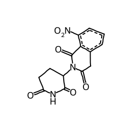 O=C1CCC(N2C(=O)Cc3cccc([N+](=O)[O-])c3C2=O)C(=O)N1